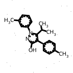 Cc1ccc(-c2c(O)nn(-c3cccc(C)c3)c2C(C)C)cc1